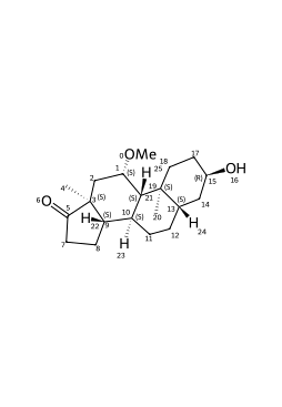 CO[C@H]1C[C@]2(C)C(=O)CC[C@H]2[C@@H]2CC[C@H]3C[C@H](O)CC[C@]3(C)[C@H]21